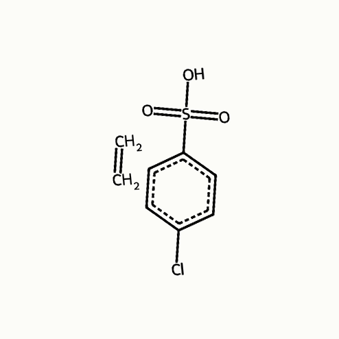 C=C.O=S(=O)(O)c1ccc(Cl)cc1